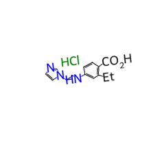 CCc1cc(NCCn2ccnc2)ccc1C(=O)O.Cl